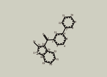 C=C(c1cccc(-c2ccccc2)c1)c1c(C)sc2ccccc12